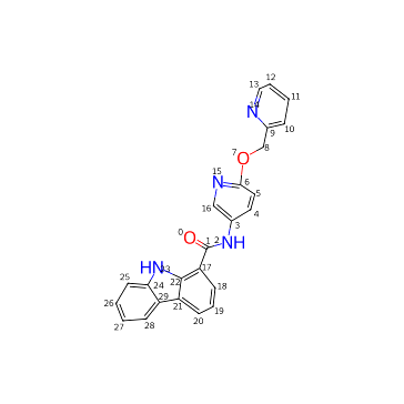 O=C(Nc1ccc(OCc2ccccn2)nc1)c1cccc2c1[nH]c1ccccc12